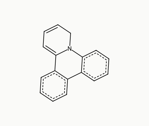 C1=CCN2C(=C1)c1ccccc1-c1ccccc12